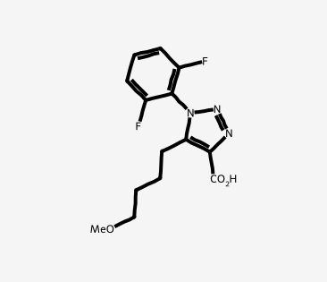 COCCCCc1c(C(=O)O)nnn1-c1c(F)cccc1F